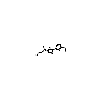 C=Cc1ccc(-c2ccc(N(C)CCO)s2)s1